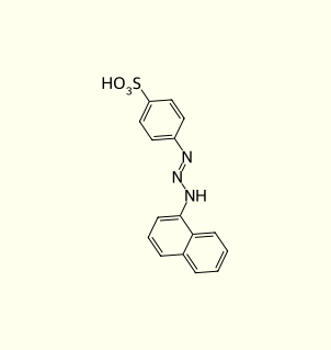 O=S(=O)(O)c1ccc(N=NNc2cccc3ccccc23)cc1